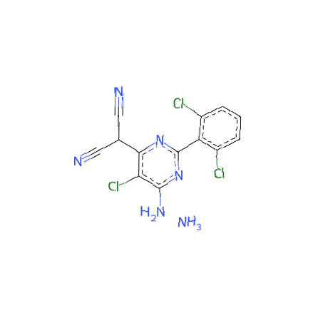 N.N#CC(C#N)c1nc(-c2c(Cl)cccc2Cl)nc(N)c1Cl